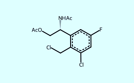 CC(=O)N[C@@H](COC(C)=O)c1cc(F)cc(Cl)c1CCl